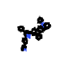 c1ccc(-c2cc(-c3ccc(-c4cccnc4)cc3)nc(-c3ccc4c(c3)c3ccccc3c3cc5c6ccccc6n(-c6ccccc6)c5cc43)c2)cc1